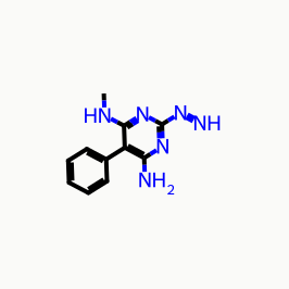 CNc1nc(N=N)nc(N)c1-c1ccccc1